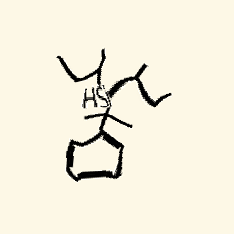 CCC(C)[SiH](C(C)CC)C(C)(C)c1ccccc1